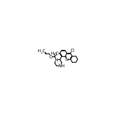 C=CCOC(=O)N1CCNCC1c1c(C)ccc2c(Cl)c3c(nc12)CCCC3